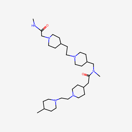 CNC(=O)CN1CCC(CCN2CCC(CN(C)C(=O)CC3CCN(CCN4CCC(C)CC4)CC3)CC2)CC1